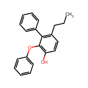 CCCc1ccc(O)c(Oc2ccccc2)c1-c1ccccc1